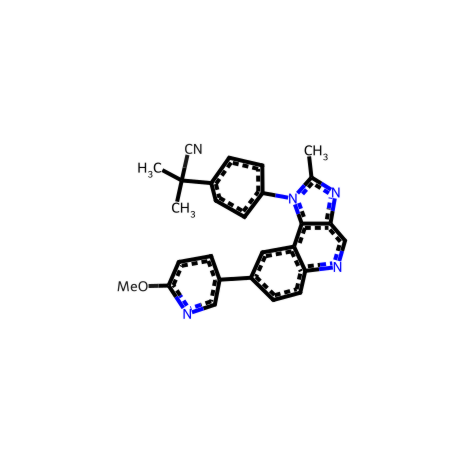 COc1ccc(-c2ccc3ncc4nc(C)n(-c5ccc(C(C)(C)C#N)cc5)c4c3c2)cn1